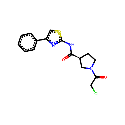 O=C(Nc1nc(-c2ccccc2)cs1)[C@H]1CCN(C(=O)CCl)C1